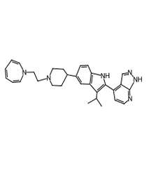 CC(C)c1c(-c2ccnc3[nH]ncc23)[nH]c2ccc(C3CCN(CCN4C=CC=CC=C4)CC3)cc12